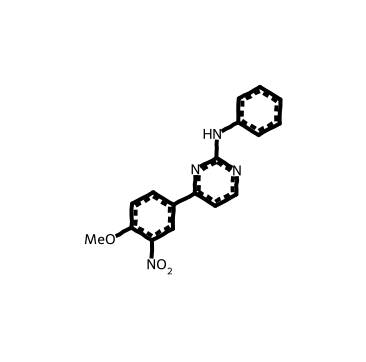 COc1ccc(-c2ccnc(Nc3ccccc3)n2)cc1[N+](=O)[O-]